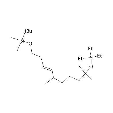 CC[Si](CC)(CC)OC(C)(C)CCCC(C)C=CCCO[Si](C)(C)C(C)(C)C